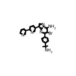 CC(C)(N)c1ccc(-c2nc3c(-c4ccc(-c5cccnc5)nc4)cnn3c(N)c2Br)cc1